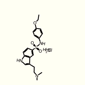 CCOc1ccc(NS(=O)(=O)c2ccc3[nH]cc(CCN(C)C)c3c2)cc1.Cl.O